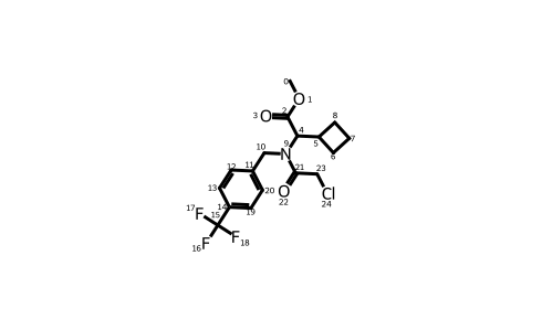 COC(=O)C(C1CCC1)N(Cc1ccc(C(F)(F)F)cc1)C(=O)CCl